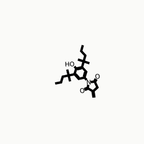 C=C1CC(=O)N(c2cc(C(C)(C)CCC)c(O)c(C(C)(C)CCC)c2)C1=O